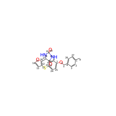 Cc1ccc(COc2ccc(Sc3ccoc3C3NC(=O)NC3=O)cc2)cc1